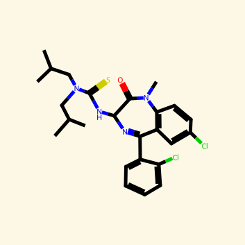 CC(C)CN(CC(C)C)C(=S)NC1N=C(c2ccccc2Cl)c2cc(Cl)ccc2N(C)C1=O